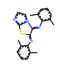 Cc1cccc(C)c1N=C1Sc2nccn2C1=Nc1c(C)cccc1C